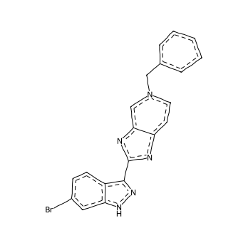 Brc1ccc2c(-c3nc4ccn(Cc5ccccc5)cc-4n3)n[nH]c2c1